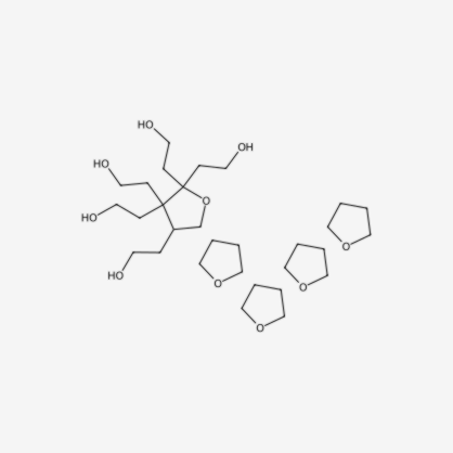 C1CCOC1.C1CCOC1.C1CCOC1.C1CCOC1.OCCC1COC(CCO)(CCO)C1(CCO)CCO